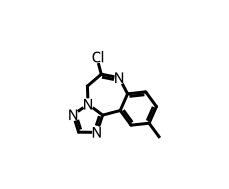 Cc1ccc2c(c1)-c1ncnn1CC(Cl)=N2